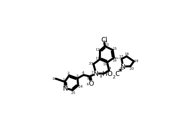 Cc1cc(CC(=O)N2CCc3c(cc(Cl)cc3[C@@H]3CCCN3C(=O)O)C2)ccn1